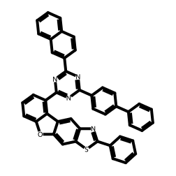 c1ccc(-c2ccc(-c3nc(-c4ccc5ccccc5c4)nc(-c4cccc5oc6cc7sc(-c8ccccc8)nc7cc6c45)n3)cc2)cc1